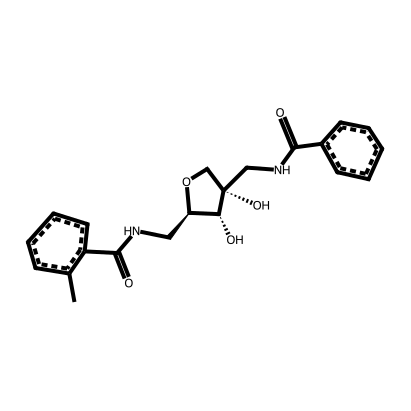 Cc1ccccc1C(=O)NC[C@H]1OC[C@@](O)(CNC(=O)c2ccccc2)[C@@H]1O